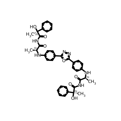 C[C@H](Nc1ccc(-c2nnc(-c3ccc(N[C@@H](C)C(=O)NC(=O)[C@@](C)(O)c4ccccc4)cc3)o2)cc1)C(=O)NC(=O)[C@@](C)(O)c1ccccc1